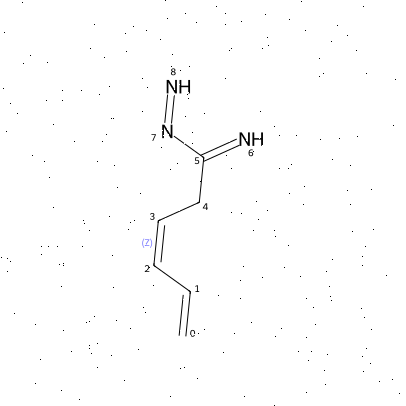 C=C/C=C\CC(=N)N=N